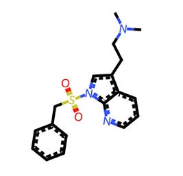 CN(C)CCc1cn(S(=O)(=O)Cc2ccccc2)c2ncccc12